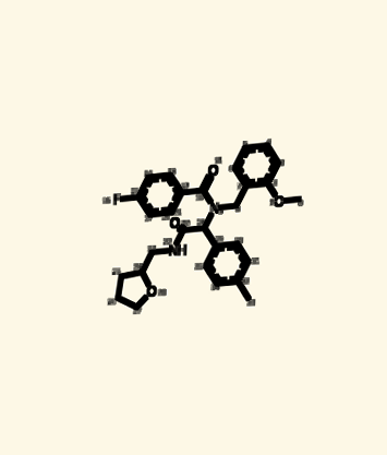 COc1ccccc1CN(C(=O)c1ccc(F)cc1)C(C(=O)NCC1CCCO1)c1ccc(C)cc1